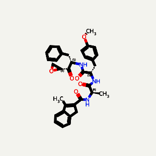 COc1ccc(C[C@H](NC(=O)[C@@H](C)NC(=O)C2=C(C)c3ccccc3C2)C(=O)N[C@@H](Cc2ccccc2)C(=O)[C@H]2CO2)cc1